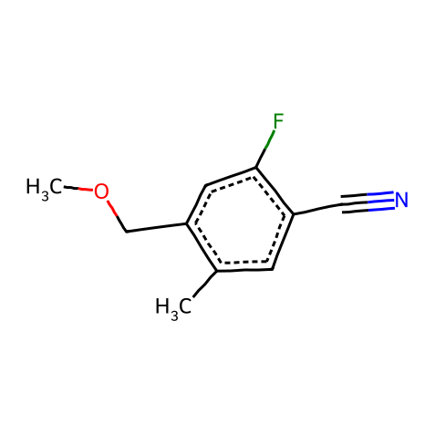 COCc1cc(F)c(C#N)cc1C